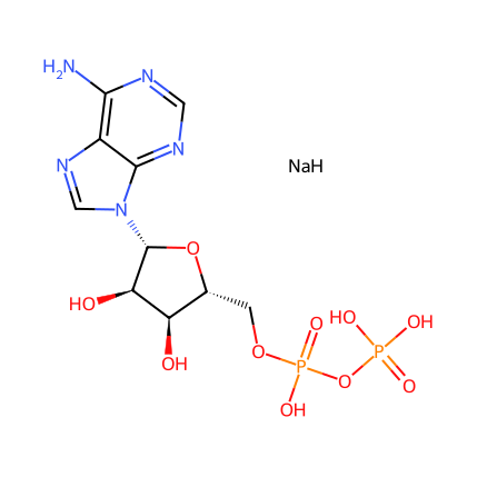 Nc1ncnc2c1ncn2[C@@H]1O[C@H](COP(=O)(O)OP(=O)(O)O)[C@@H](O)[C@H]1O.[NaH]